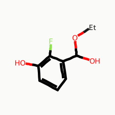 CCOC(O)c1cccc(O)c1F